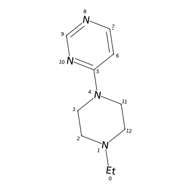 CCN1CCN(c2c[c]ncn2)CC1